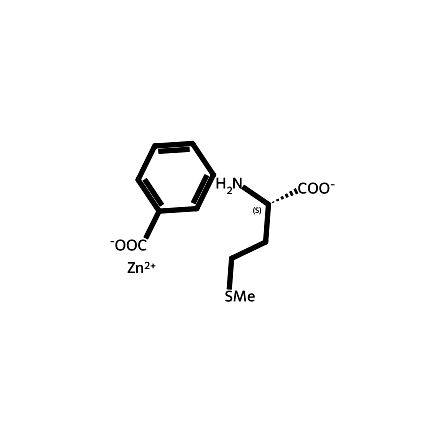 CSCC[C@H](N)C(=O)[O-].O=C([O-])c1ccccc1.[Zn+2]